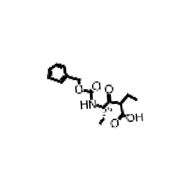 CCC(C(=O)O)C(=O)[C@H](CC)NC(=O)OCc1ccccc1